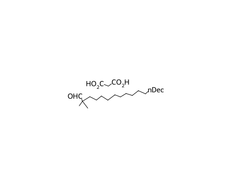 CCCCCCCCCCCCCCCCCCCCC(C)(C)C=O.O=C(O)CC(=O)O